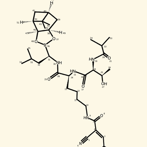 CC(C)/C=C(\C#N)C(=O)NCCCC[C@H](NC(=O)[C@@H](NC(=O)C(C)C)[C@@H](C)O)C(=O)N[C@@H](CC(C)C)B1O[C@@H]2C[C@@H]3C[C@@H](C3(C)C)[C@]2(C)O1